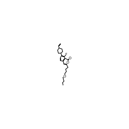 C=CC1CCC(c2ccc3cc(CCCCOCCCC)oc(=O)c3c2F)CC1